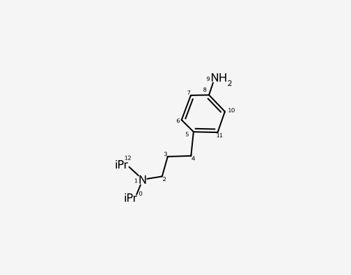 CC(C)N(CCCc1ccc(N)cc1)C(C)C